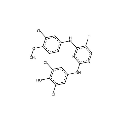 COc1ccc(Nc2nc(Nc3cc(Cl)c(O)c(Cl)c3)ncc2F)cc1Cl